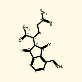 C=Cc1cccc2c1C(=O)C(C(CCC(C)=O)C(N)=O)C2=O